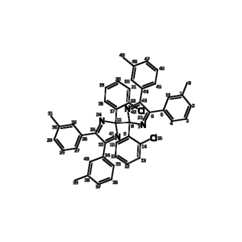 Cc1cccc(C2=NC(c3ccccc3Cl)(C3(c4ccccc4Cl)N=C(c4cccc(C)c4)C(c4cccc(C)c4)=N3)N=C2c2cccc(C)c2)c1